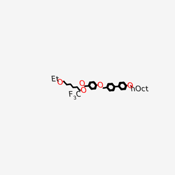 CCCCCCCCOc1ccc(-c2ccc(COc3ccc(C(=O)OC(CCCCCOCC)C(F)(F)F)cc3)cc2)cc1